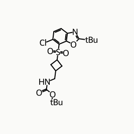 CC(C)(C)OC(=O)NCC1CC(S(=O)(=O)c2c(Cl)ccc3nc(C(C)(C)C)oc23)C1